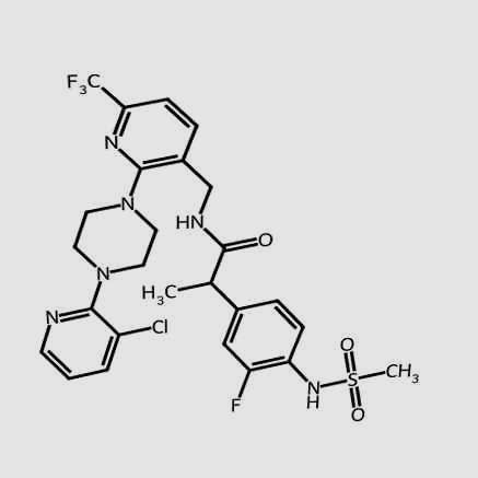 CC(C(=O)NCc1ccc(C(F)(F)F)nc1N1CCN(c2ncccc2Cl)CC1)c1ccc(NS(C)(=O)=O)c(F)c1